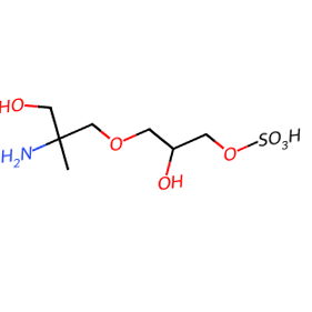 CC(N)(CO)COCC(O)COS(=O)(=O)O